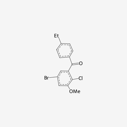 CCc1ccc(C(=O)c2cc(Br)cc(OC)c2Cl)cc1